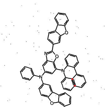 c1ccc(-c2ccccc2N(c2ccccc2)c2cc(N(c3ccccc3)c3ccc4oc5ccccc5c4c3)cc3nc(-c4ccc5c(c4)oc4ccccc45)oc23)cc1